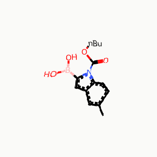 CCCCOC(=O)n1c(B(O)O)cc2cc(C)ccc21